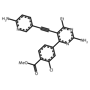 CCc1nc(N)nc(-c2ccc(C(=O)OC)c(Cl)c2)c1C#Cc1ccc(N)nc1